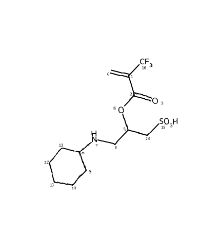 C=C(C(=O)OC(CNC1CCCCC1)CS(=O)(=O)O)C(F)(F)F